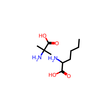 CC(C)(N)C(=O)O.CCCCC(N)C(=O)O